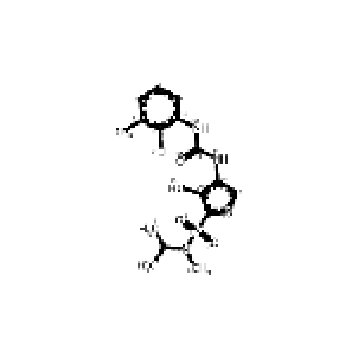 CC(C)N(C)S(=O)(=O)c1scc(NC(=O)Nc2cccc(Cl)c2Cl)c1O